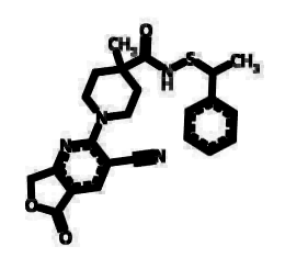 CC(SNC(=O)C1(C)CCN(c2nc3c(cc2C#N)C(=O)OC3)CC1)c1ccccc1